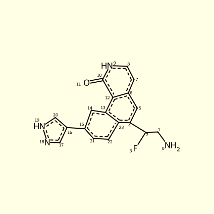 NCC(F)c1cc2cc[nH]c(=O)c2c2cc(-c3cn[nH]c3)ccc12